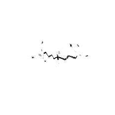 CO[Si](CCCCC(N)(N)CCC[Si](OC)(OC)OC)(OC)OC